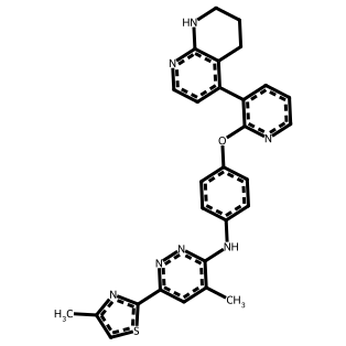 Cc1csc(-c2cc(C)c(Nc3ccc(Oc4ncccc4-c4ccnc5c4CCCN5)cc3)nn2)n1